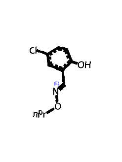 CCCO/N=C/c1cc(Cl)ccc1O